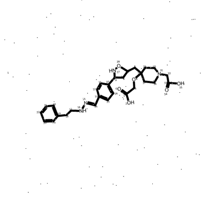 O=C(O)COC1(CC2CC(c3ccc(C=NNCCc4ccccc4)cc3)NO2)CCN(CC(=O)O)CC1